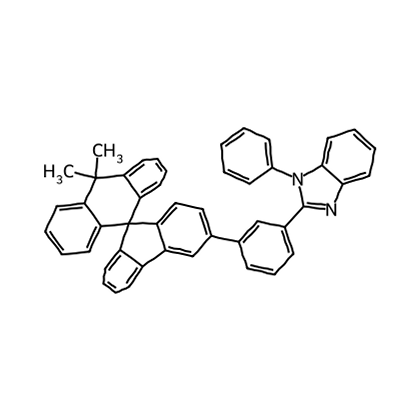 CC1(C)c2ccccc2C2(c3ccccc3-c3cc(-c4cccc(-c5nc6ccccc6n5-c5ccccc5)c4)ccc32)c2ccccc21